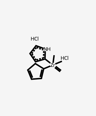 Cl.Cl.[CH2]=[Zr]([CH3])([CH3])([C]1=CC=CC1)[c]1ccc[nH]1